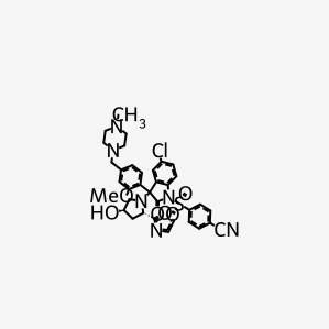 COc1cc(CN2CCN(C)CC2)ccc1C1(N2C[C@H](O)C[C@H]2c2ncco2)C(=O)N(S(=O)(=O)c2ccc(C#N)cc2)c2ccc(Cl)cc21